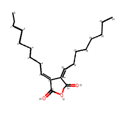 CCCCCCCC=C1C(=O)OC(=O)C1=CCCCCCCC